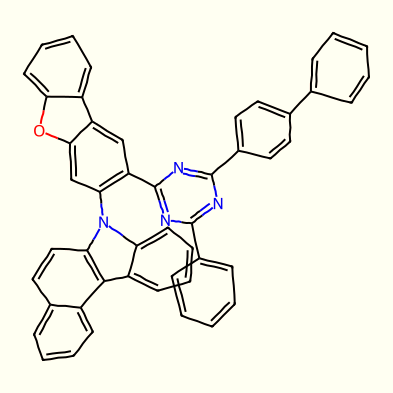 c1ccc(-c2ccc(-c3nc(-c4ccccc4)nc(-c4cc5c(cc4-n4c6ccccc6c6c7ccccc7ccc64)oc4ccccc45)n3)cc2)cc1